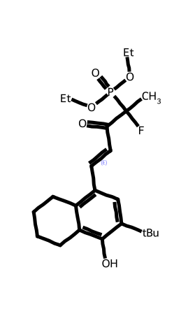 CCOP(=O)(OCC)C(C)(F)C(=O)/C=C/c1cc(C(C)(C)C)c(O)c2c1CCCC2